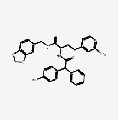 Nc1cc(CCC(NC(=O)C(c2ccccc2)c2ccc(O)cc2)C(=O)NCc2ccc3c(c2)OCO3)ccn1